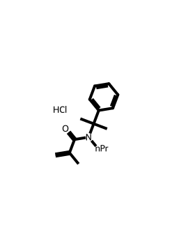 C=C(C)C(=O)N(CCC)C(C)(C)c1ccccc1.Cl